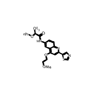 CCCOC(C)C(=O)Nc1ccc2nc(-c3cncs3)cc(OCCOC)c2c1